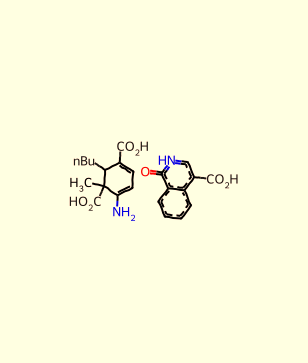 CCCCC1C(C(=O)O)=CC=C(N)C1(C)C(=O)O.O=C(O)c1c[nH]c(=O)c2ccccc12